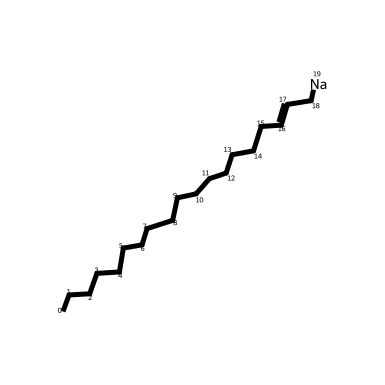 CCCCCCCCCCCCCCCCC=C[CH2][Na]